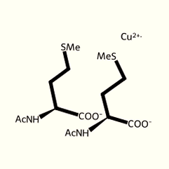 CSCC[C@H](NC(C)=O)C(=O)[O-].CSCC[C@H](NC(C)=O)C(=O)[O-].[Cu+2]